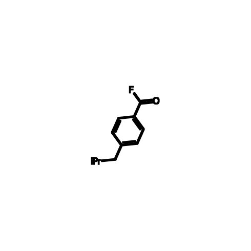 CC(C)Cc1ccc(C(=O)F)cc1